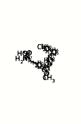 CCOC(=O)CC(CN1CCN(Cc2ccccc2-c2ccc(Cl)cc2)CC1)NCc1ccc(C#CCCN(N)C(=O)O)cc1